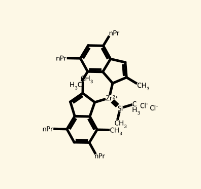 CCCc1cc(CCC)c2c(c1C)[CH]([Zr+2]([CH]1C(C)=Cc3c(CCC)cc(CCC)c(C)c31)=[Si](C)C)C(C)=C2.[Cl-].[Cl-]